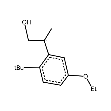 CCOc1ccc(C(C)(C)C)c([C](C)CO)c1